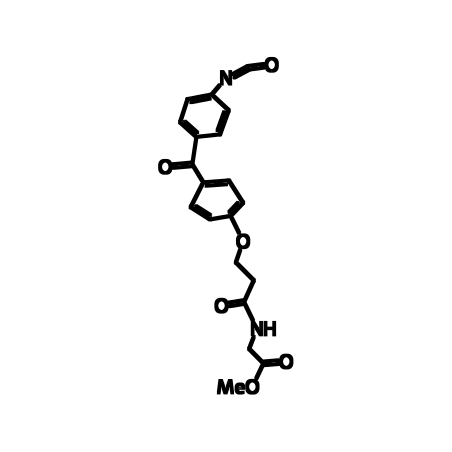 COC(=O)CNC(=O)CCOc1ccc(C(=O)c2ccc(N=C=O)cc2)cc1